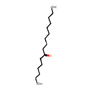 CCCCCCCCCCCCCCCCC[CH]C(=O)CCCCCCCCCCCCCCC